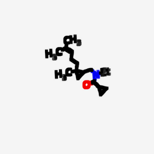 CCN(CC1CC1(C)CCC=C(C)C)C(=O)C1CC1